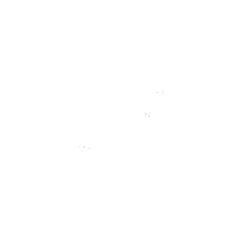 CCC(=O)/C(=N\O)C(=O)OC